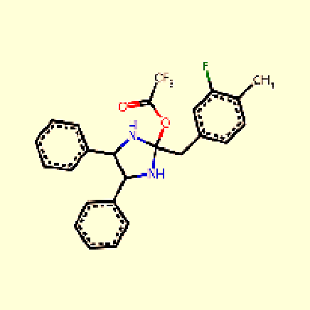 Cc1ccc(CC2(OC(=O)C(F)(F)F)NC(c3ccccc3)C(c3ccccc3)N2)cc1F